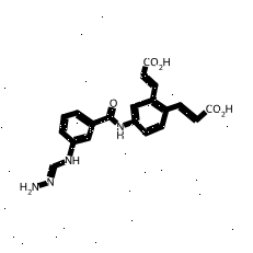 NN=CNc1cccc(C(=O)Nc2ccc(C=CC(=O)O)c(C=CC(=O)O)c2)c1